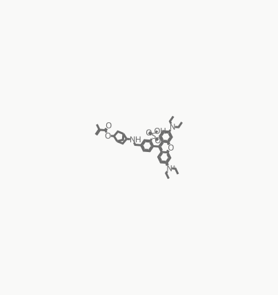 C=C(C)C(=O)OC1CC2CC1CC2NCc1ccc(-c2c3ccc(=[N+](CC)CC)cc-3oc3cc(N(CC)CC)ccc23)c(S(=O)(=O)O)c1